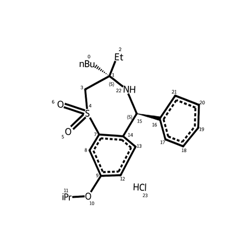 CCCC[C@@]1(CC)CS(=O)(=O)c2cc(OC(C)C)ccc2[C@H](c2ccccc2)N1.Cl